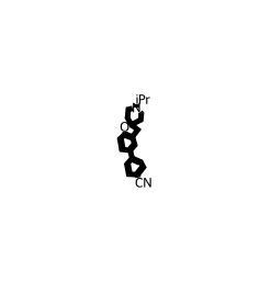 CC(C)N1CCC2(CC1)Cc1cc(-c3ccc(C#N)cc3)ccc1O2